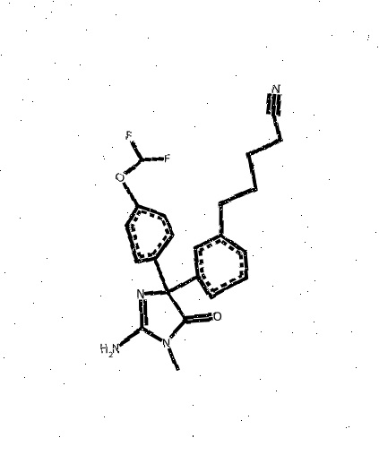 CN1C(=O)C(c2ccc(OC(F)F)cc2)(c2cccc(CCCCC#N)c2)N=C1N